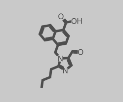 CCCCc1ncc(C=O)n1Cc1ccc(C(=O)O)c2ccccc12